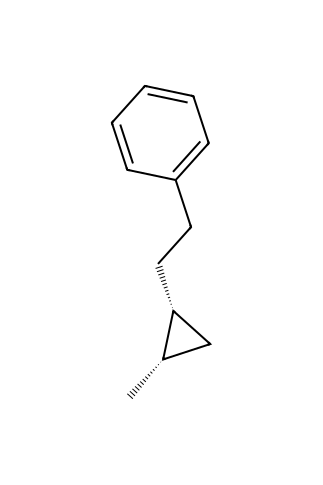 C[C@H]1C[C@H]1CCc1ccccc1